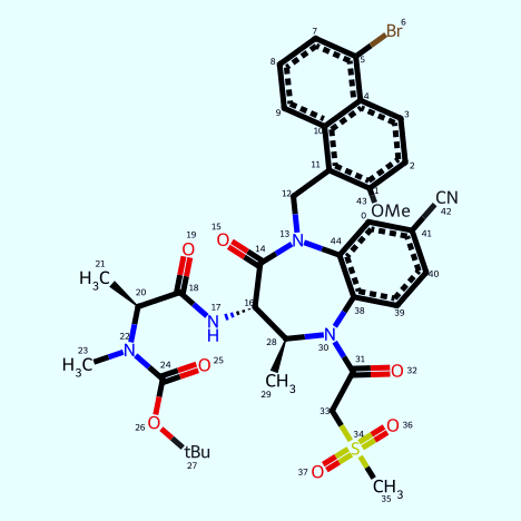 COc1ccc2c(Br)cccc2c1CN1C(=O)[C@@H](NC(=O)[C@H](C)N(C)C(=O)OC(C)(C)C)[C@H](C)N(C(=O)CS(C)(=O)=O)c2ccc(C#N)cc21